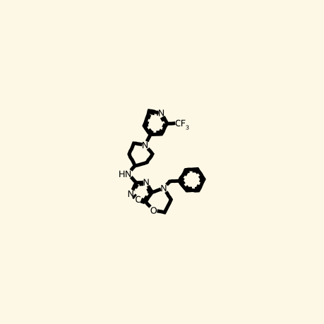 FC(F)(F)c1cc(N2CCC(Nc3ncc4c(n3)N(Cc3ccccc3)CCO4)CC2)ccn1